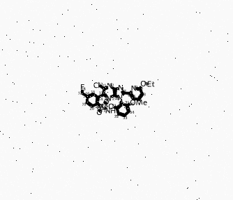 CCOc1cccc(-c2nc3nc(Cl)c(-c4cc(CF)ccc4S(N)(=O)=O)nc3n2-c2c(OC)cccc2OC)n1